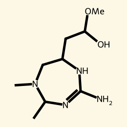 COC(O)CC1CN(C)C(C)N=C(N)N1